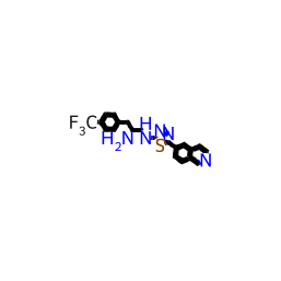 N[C@@H](CNc1nnc(-c2ccc3cnccc3c2)s1)Cc1ccc(C(F)(F)F)cc1